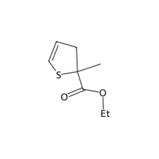 CCOC(=O)C1(C)CC=CS1